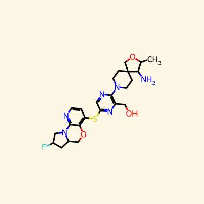 CC1OCC2(CCN(c3ncc(Sc4ccnc5c4OCC4CC(F)CN54)nc3CO)CC2)C1N